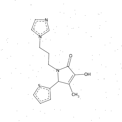 CC1=C(O)C(=O)N(CCCn2ccnc2)C1c1cccs1